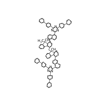 CC1(C)c2ccccc2-c2c(CC3(C)c4ccccc4-c4c(-c5ccc6c(-c7nc(-c8ccc(-c9ccccc9)cc8)nc(-c8ccc(-c9ccccc9)cc8)n7)cccc6c5)cccc43)ccc(-c3cccc4c(-c5nc(-c6ccc(-c7ccccc7)cc6)nc(-c6ccc(-c7ccccc7)cc6)n5)cccc34)c21